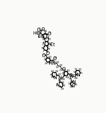 CCc1c2c(nc3ccc(OC(=O)c4cccc(C(=O)NCCCCOc5cc(CN(Cc6ccccn6)Cc6ccccn6)cc(CN(Cc6ccccn6)Cc6ccccn6)c5)c4)cc13)-c1cc3c(c(=O)n1C2)COC(=O)[C@@]3(O)CC